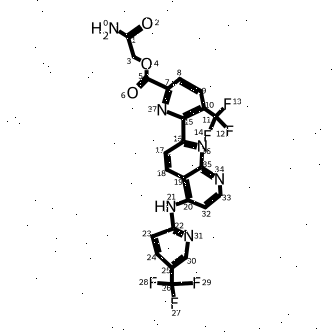 NC(=O)COC(=O)c1ccc(C(F)(F)F)c(-c2ccc3c(Nc4ccc(C(F)(F)F)cn4)ccnc3n2)n1